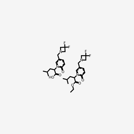 CC(C)CC(C(=O)O)n1cc(CN2CC(F)(F)C2)ccc1=O.CCOC(=O)C(CC(C)C)n1cc(CN2CC(F)(F)C2)ccc1=O